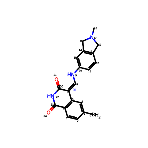 Bc1ccc2c(c1)/C(=C/Nc1ccc3c(c1)CN(C)C3)C(=O)NC2=O